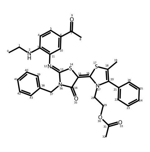 CCNc1ccc(C(C)=O)cc1N=C1SC(=C2SC(C)=C(c3ccccc3)N2CCOC(C)=O)C(=O)N1Cc1ccccc1